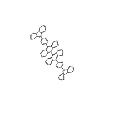 c1ccc2c(-c3c4ccccc4c(-c4ccc(-n5c6ccccc6c6ccccc65)cc4)c4ccccc34)c3ccccc3c(-c3ccc(-n4c5ccccc5c5ccccc54)cc3)c2c1